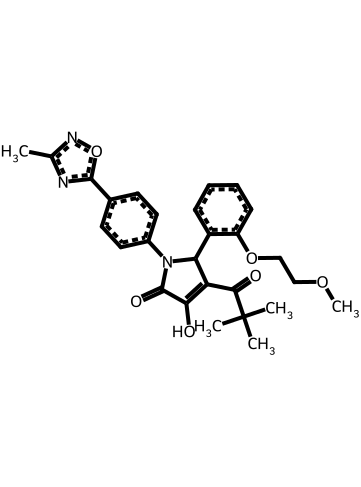 COCCOc1ccccc1C1C(C(=O)C(C)(C)C)=C(O)C(=O)N1c1ccc(-c2nc(C)no2)cc1